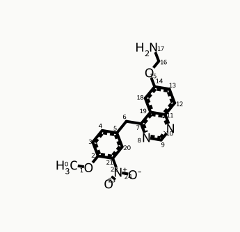 COc1ccc(Cc2ncnc3ccc(OCN)cc23)cc1[N+](=O)[O-]